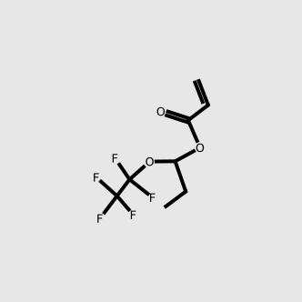 C=CC(=O)OC(CC)OC(F)(F)C(F)(F)F